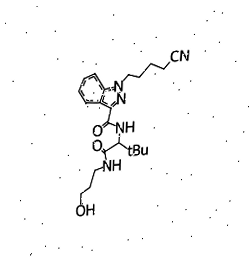 CC(C)(C)C(NC(=O)c1nn(CCCCC#N)c2ccccc12)C(=O)NCCCO